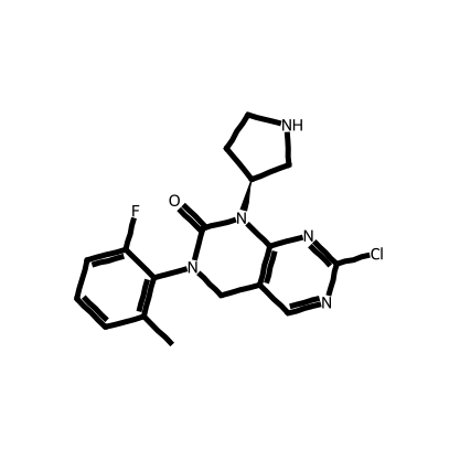 Cc1cccc(F)c1N1Cc2cnc(Cl)nc2N([C@H]2CCNC2)C1=O